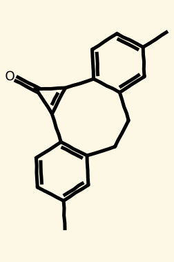 Cc1ccc2c(c1)CCc1cc(C)ccc1-c1c-2c1=O